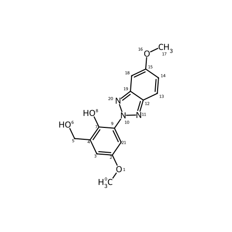 COc1cc(CO)c(O)c(-n2nc3ccc(OC)cc3n2)c1